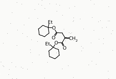 C=C(CC(=O)OC1(CC)CCCCC1)C(=O)OC1(CC)CCCCC1